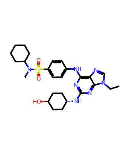 CCn1cnc2c(Nc3ccc(S(=O)(=O)N(C)C4CCCCC4)cc3)nc(N[C@H]3CC[C@H](O)CC3)nc21